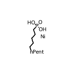 CCCCCCCCCCP(=O)(O)O.[Ni]